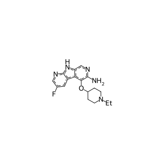 CCN1CCC(Oc2c(N)ncc3[nH]c4ncc(F)cc4c23)CC1